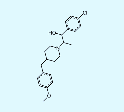 COc1ccc(CC2CCN(C(C)C(O)c3ccc(Cl)cc3)CC2)cc1